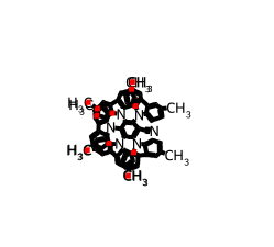 Cc1ccc2c(c1)c1cc(C)ccc1n2-c1c(C#N)c(-n2c3ccc(C)cc3c3cc(C)ccc32)c(-n2c3ccc(C)cc3c3cc(C)ccc32)c(-n2c3ccc(C)cc3c3cc(C)ccc32)c1-n1c2ccc(C)cc2c2cc(C)ccc21